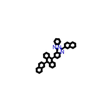 c1ccc2cc(-c3c4ccccc4c(-c4ccc5nc(-c6ccc7ccccc7c6)n6c7ccccc7nc6c5c4)c4ccccc34)ccc2c1